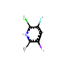 CCc1nc(Cl)c(F)cc1I